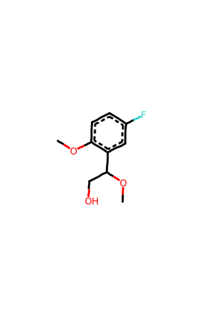 COc1ccc(F)cc1C(CO)OC